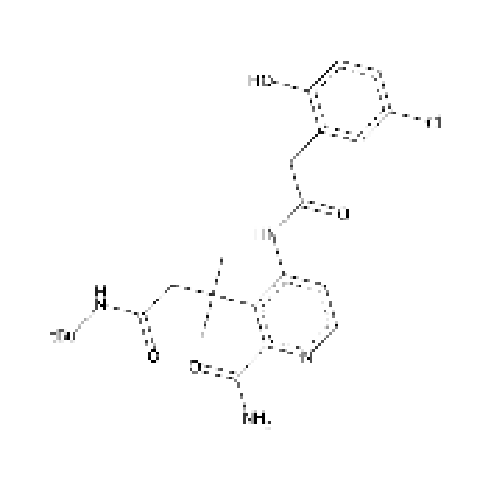 CC(C)(C)NC(=O)CC(C)(C)c1c(NC(=O)Cc2cc(Cl)ccc2O)ccnc1C(N)=O